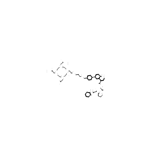 O=C(O)CN1CCN(CC(=O)O)CCN(CC(O)O)CCN(CC(=O)NCCCNC(=O)c2ccc(-c3ccc4nccc(C(=O)NCC(=O)N5CCC[C@H]5C(=O)c5nc6ccccc6o5)c4c3)cc2)CC1